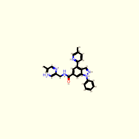 C=C(C)/C=N\C(=C/N)CNC(=O)c1cc(-c2ccc(C)cn2)c2cnn(-c3ccccc3)c2c1